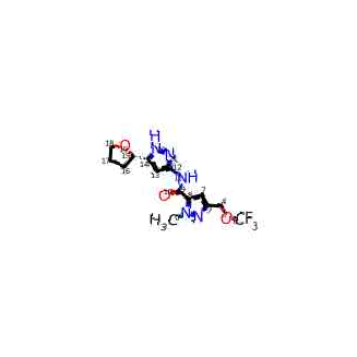 Cn1nc(COC(F)(F)F)cc1C(=O)Nc1cc([C@@H]2C[CH]CO2)[nH]n1